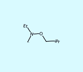 [CH2]N(CC)OCC(C)C